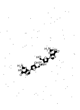 Nc1nc2c(ncn2[C@H]2C[C@H](NNC[C@H]3O[C@@H](n4cnc5c(=O)[nH]c(N)nc54)C[C@@H]3O)[C@@H](CO)O2)c(=O)[nH]1